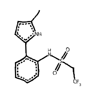 Cc1ccc(-c2ccccc2NS(=O)(=O)CC(F)(F)F)[nH]1